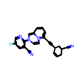 N#Cc1cc(F)cnc1N1C=CN2C(C#CC3C=CCC(C#N)C3)=CC=CC2=C1